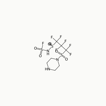 O=S(=O)(F)NS(=O)(=O)C(F)(F)C(F)(F)C(F)(F)S(=O)(=O)N1CCNCC1